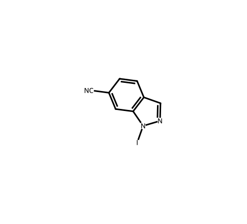 N#Cc1ccc2cnn(I)c2c1